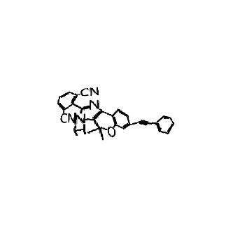 CC1(C)Oc2cc(C#Cc3ccccc3)ccc2-c2nc(-c3c(C#N)cccc3C#N)[nH]c21